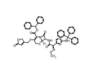 CO/N=C(\C(=O)N[C@@H]1C(=O)N2C(C(=O)OC(c3ccccc3)c3ccccc3)=C(SCC3=CC(=O)OC3)CS[C@@H]12)c1csc(NC(c2ccccc2)(c2ccccc2)c2ccccc2)n1